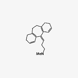 CNCCC=C1C2=C(CCC=C2)CCC2=C1C=CCC2